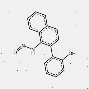 O=NNc1c(-c2ccccc2O)ccc2ccccc12